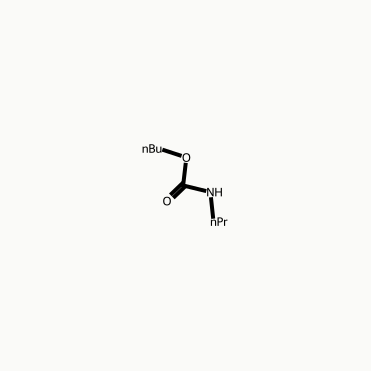 [CH2]CCCOC(=O)NCCC